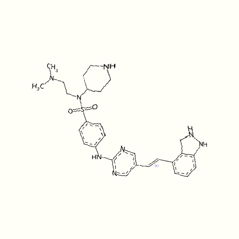 CN(C)CCN(C1CCNCC1)S(=O)(=O)c1ccc(Nc2ncc(/C=C/c3cccc4c3CNN4)cn2)cc1